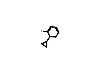 FC1=CC=CCC1C1CC1